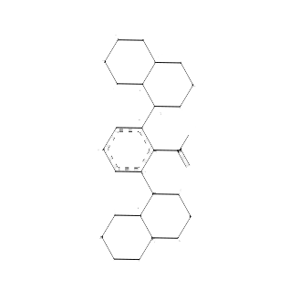 O=C(O)c1c(C2CCCC3CCCCC32)cccc1C1CCCC2CCCCC21